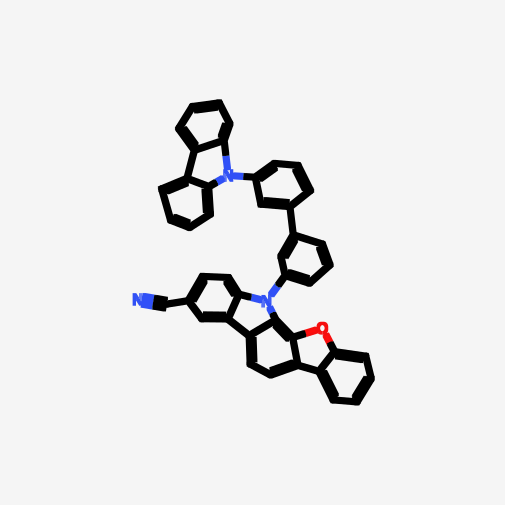 N#Cc1ccc2c(c1)c1ccc3c4ccccc4oc3c1n2-c1cccc(-c2cccc(-n3c4ccccc4c4ccccc43)c2)c1